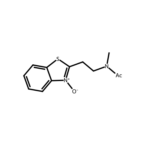 CC(=O)N(C)CCc1sc2ccccc2[n+]1[O-]